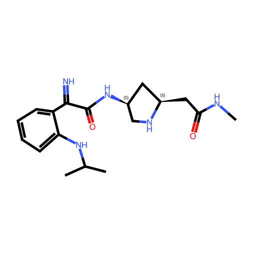 CNC(=O)C[C@@H]1C[C@H](NC(=O)C(=N)c2ccccc2NC(C)C)CN1